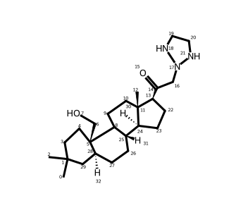 CC1(C)CC[C@]2(CO)C3CC[C@]4(C)[C@@H](C(=O)CN5NCCN5)CC[C@H]4[C@@H]3CC[C@H]2C1